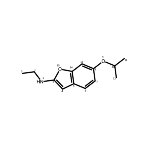 CCNc1cc2ccc(OC(C)C)cc2o1